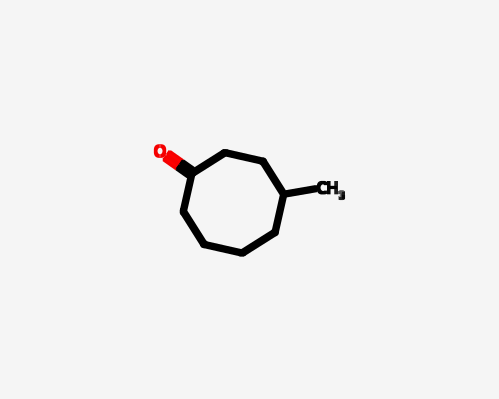 CC1CCCCC(=O)CC1